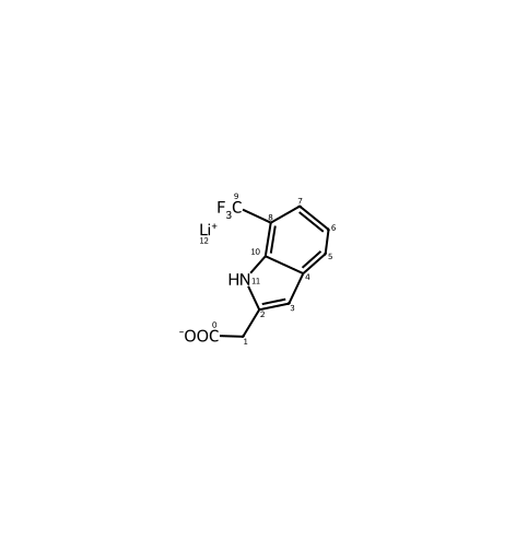 O=C([O-])Cc1cc2cccc(C(F)(F)F)c2[nH]1.[Li+]